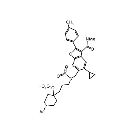 CNC(=O)c1c(-c2ccc(C)cc2)oc2nc(CN(CCCC3(OC(=O)O)CCN(C(C)=O)CC3)[SH](=O)=O)c(C3CC3)cc12